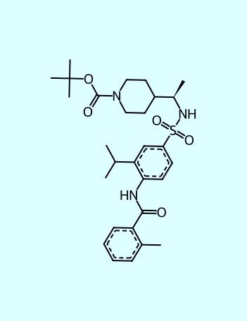 Cc1ccccc1C(=O)Nc1ccc(S(=O)(=O)N[C@H](C)C2CCN(C(=O)OC(C)(C)C)CC2)cc1C(C)C